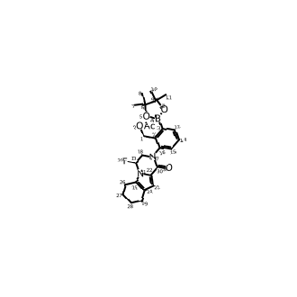 CC(=O)OCc1c(B2OC(C)(C)C(C)(C)O2)cccc1N1CC(F)n2c(cc3c2CCCC3)C1=O